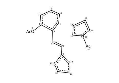 CC(=O)Oc1ccccc1/C=C/c1cccs1.CC(=O)n1cccc1